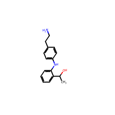 CC(O)c1ccccc1Nc1ccc(CCN)cc1